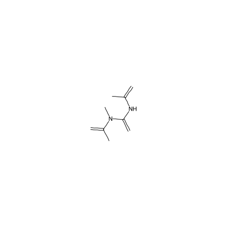 C=C(C)NC(=C)N(C)C(=C)C